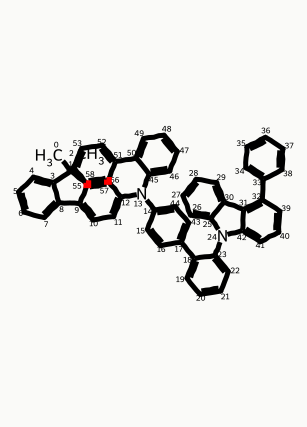 CC1(C)c2ccccc2-c2ccc(N(c3ccc(-c4ccccc4-n4c5ccccc5c5c(-c6ccccc6)cccc54)cc3)c3ccccc3-c3ccccc3)cc21